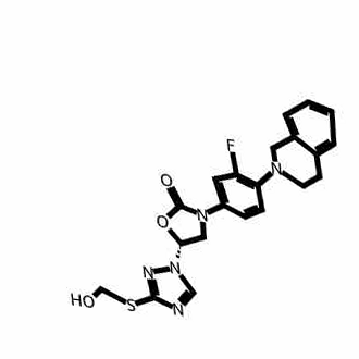 O=C1O[C@@H](n2cnc(SCO)n2)CN1c1ccc(N2CCc3ccccc3C2)c(F)c1